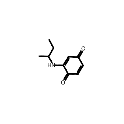 CCC(C)NC1=CC(=O)C=CC1=O